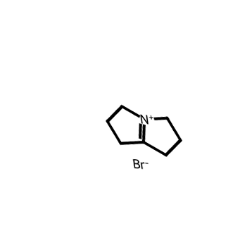 C1CC2=[N+](C1)CCC2.[Br-]